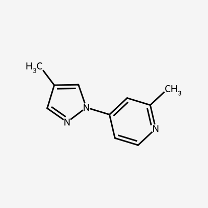 Cc1cnn(-c2ccnc(C)c2)c1